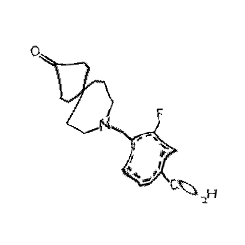 O=C1CC2(CCN(c3ccc(C(=O)O)cc3F)CC2)C1